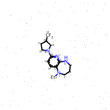 CCN1CCCNc2nc(N3CCC(C(F)(F)F)C3)ccc21